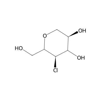 OCC1OC[C@@H](O)C(O)[C@H]1Cl